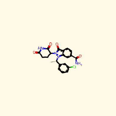 C[C@@H](c1cccc(Cl)c1)n1c2cc(C(N)=O)ccc2c(=O)n1C1CCC(=O)NC1=O